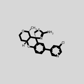 C[C@H]1OCC[C@H]2Oc3ccc(-c4cncc(Cl)c4)cc3[C@@]3(CSC(N)=N3)C12